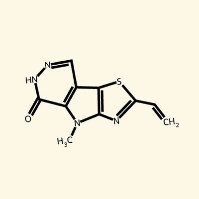 C=Cc1nc2c(s1)c1cn[nH]c(=O)c1n2C